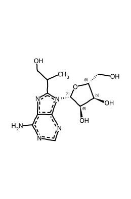 CC(CO)c1nc2c(N)ncnc2n1[C@@H]1O[C@H](CO)[C@@H](O)[C@H]1O